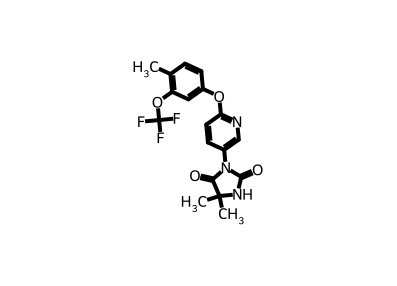 Cc1ccc(Oc2ccc(N3C(=O)NC(C)(C)C3=O)cn2)cc1OC(F)(F)F